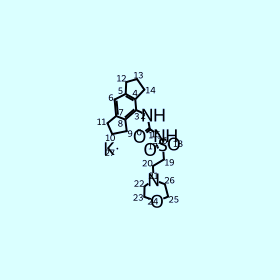 O=C(Nc1c2c(cc3c1CCC3)CCC2)NS(=O)(=O)CCN1CCOCC1.[K]